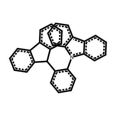 c1ccc2c(c1)-c1ccccc1C2c1ccccc1-n1c2ccccc2c2ccccc21